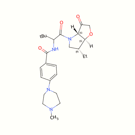 CC[C@@H]1CN(C(=O)C(NC(=O)c2ccc(N3CCN(C)CC3)cc2)C(C)(C)C)[C@@H]2C(=O)CO[C@@H]12